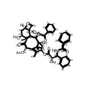 CC(=O)O[C@H]1C(=O)[C@@]2(C)C(C(OC(=O)c3ccccc3)[C@]3(O)CC(OC(=O)[C@H](O)C(NC(=O)c4ccccc4)c4ccccc4)C(C)=C1C3(C)C)[C@]1(OC(C)=O)CO[C@@H]1C[C@@H]2O